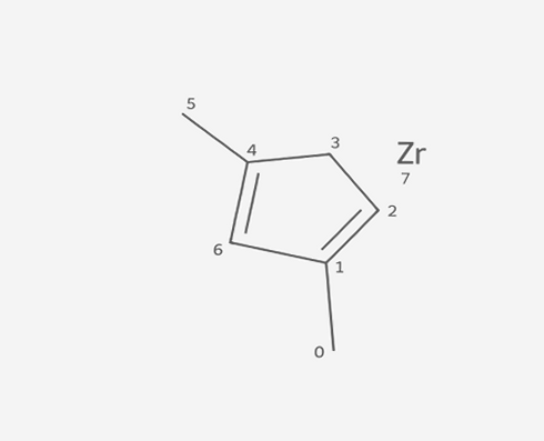 CC1=CCC(C)=C1.[Zr]